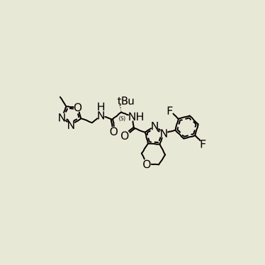 Cc1nnc(CNC(=O)[C@@H](NC(=O)c2nn(-c3cc(F)ccc3F)c3c2COCC3)C(C)(C)C)o1